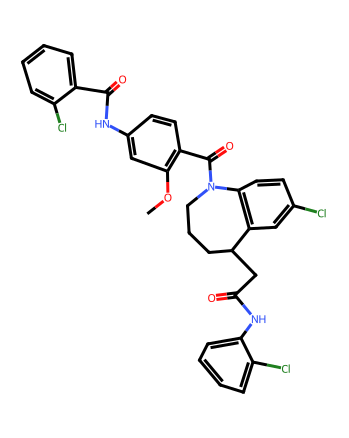 COc1cc(NC(=O)c2ccccc2Cl)ccc1C(=O)N1CCCC(CC(=O)Nc2ccccc2Cl)c2cc(Cl)ccc21